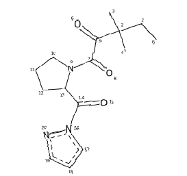 CCC(C)(C)C(=O)C(=O)N1CCCC1C(=O)n1cccn1